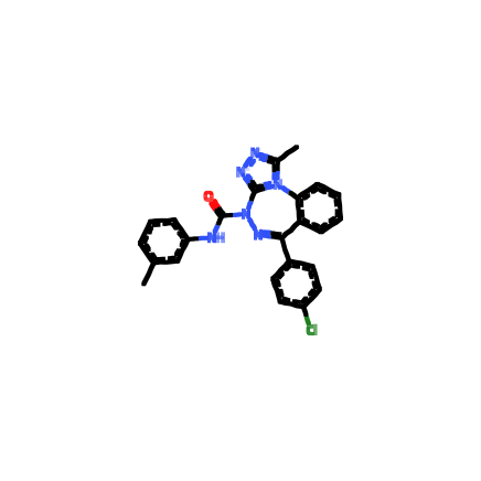 Cc1cccc(NC(=O)N2N=C(c3ccc(Cl)cc3)c3ccccc3-n3c(C)nnc32)c1